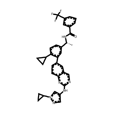 C[C@@H](NC(=O)c1cccc(C(F)(F)F)c1)c1ccc(C2CC2)c(-c2ccc3nc(Nc4cnn(C5CC5)c4)ncc3c2)c1